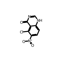 O=c1nc[nH]c2ccc([N+](=O)[O-])c(Cl)c12